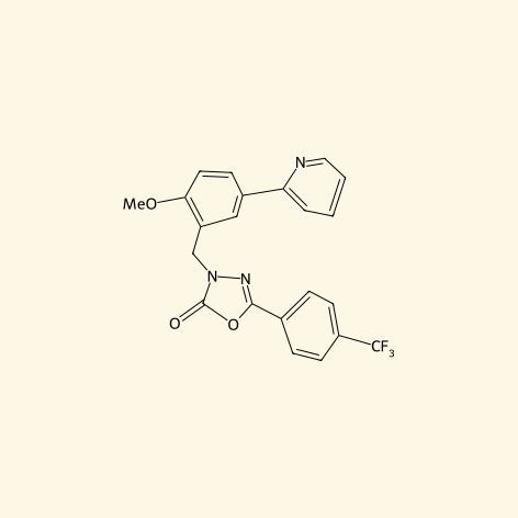 COc1ccc(-c2ccccn2)cc1Cn1nc(-c2ccc(C(F)(F)F)cc2)oc1=O